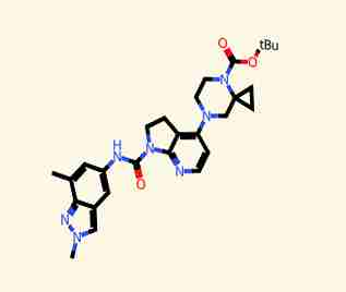 Cc1cc(NC(=O)N2CCc3c(N4CCN(C(=O)OC(C)(C)C)C5(CC5)C4)ccnc32)cc2cn(C)nc12